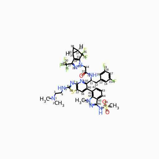 CN(C)CCNc1nc2nc([C@H](Cc3cc(F)cc(F)c3)NC(=O)Cn3nc(C(F)(F)F)c4c3C(F)(F)[C@@H]3C[C@H]43)c(-c3cccc4c(NS(C)(=O)=O)nn(C)c34)cc2s1